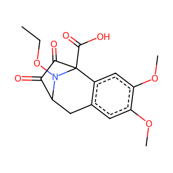 CCON1C2Cc3cc(OC)c(OC)cc3C1(C(=O)O)C(=O)C2=O